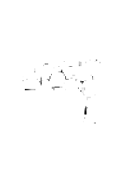 COc1nc2c(F)c(N3CCOCC3)ccc2n1C(=O)NCC#CC(C)C